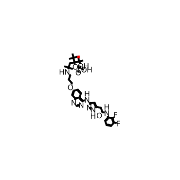 CC(C)(CC(OP(=O)(O)O)(C(C)(C)C)C(C)(C)C)NCCCOc1ccc2c(Nc3cc(CC(=O)Nc4cccc(F)c4F)[nH]n3)ncnc2c1